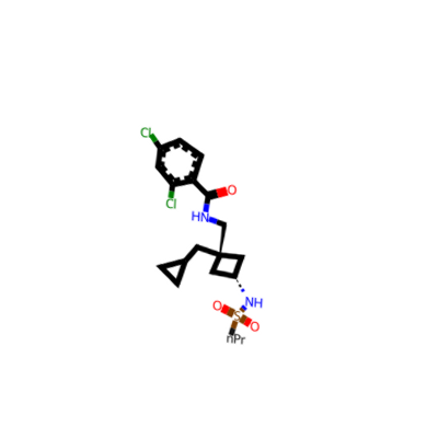 CCCS(=O)(=O)N[C@H]1C[C@@](CNC(=O)c2ccc(Cl)cc2Cl)(CC2CC2)C1